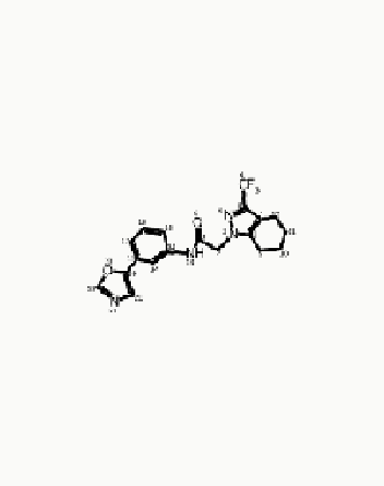 O=C(Cn1nc(C(F)(F)F)c2c1CCCC2)Nc1cccc(-c2cnco2)c1